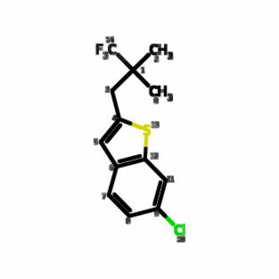 CC(C)(Cc1cc2ccc(Cl)cc2s1)C(F)(F)F